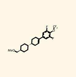 COC[C@H]1CC[C@H](C2CC=C(c3cc(F)c(OC(F)(F)F)c(F)c3)CC2)CC1